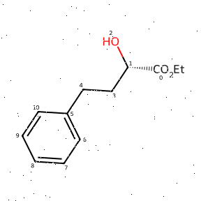 CCOC(=O)[C@@H](O)CCc1ccccc1